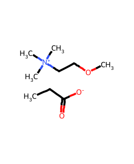 CCC(=O)[O-].COCC[N+](C)(C)C